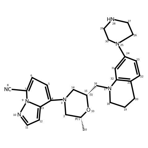 C[C@@H]1CN(c2ccc(C#N)n3nccc23)C[C@H](CN2CCCc3ccc(N4CCNCC4)cc32)O1